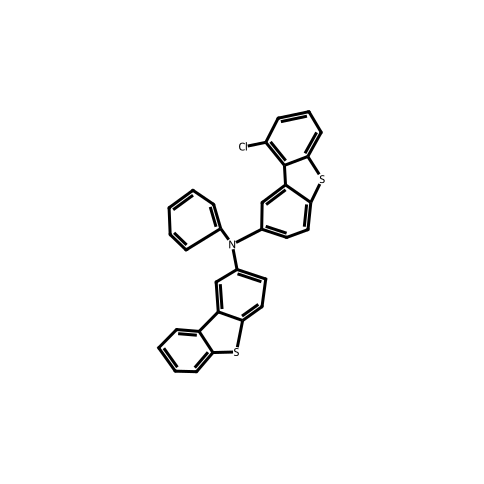 Clc1cccc2sc3ccc(N(c4ccccc4)c4ccc5sc6ccccc6c5c4)cc3c12